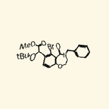 COC(=O)C(OC(C)(C)C)c1ccc2c(c1Br)C(=O)N(Cc1ccccc1)CCO2